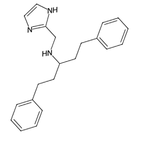 c1ccc(CCC(CCc2ccccc2)NCc2ncc[nH]2)cc1